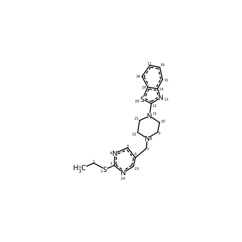 CCSc1ncc(CN2CCN(c3nc4ccccc4s3)CC2)cn1